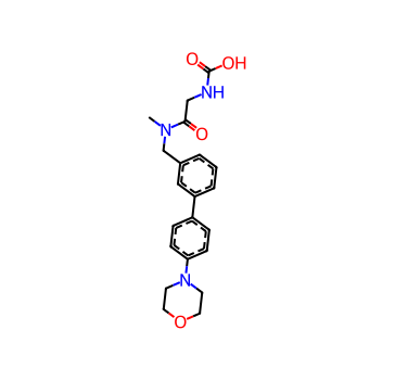 CN(Cc1cccc(-c2ccc(N3CCOCC3)cc2)c1)C(=O)CNC(=O)O